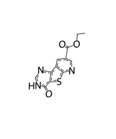 CCOC(=O)c1cnc2sc3c(=O)[nH]cnc3c2c1